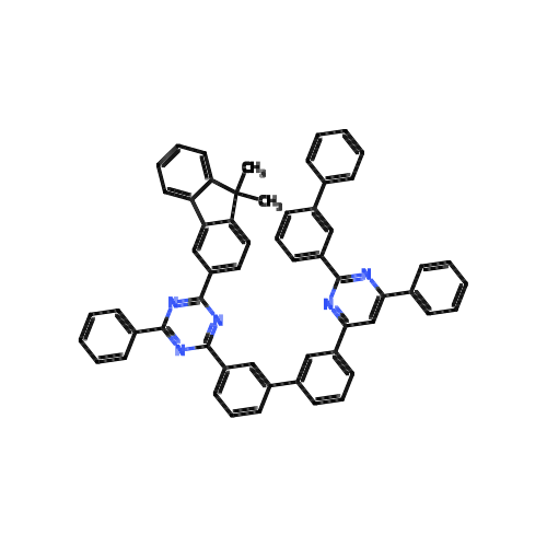 CC1(C)c2ccccc2-c2cc(-c3nc(-c4ccccc4)nc(-c4cccc(-c5cccc(-c6cc(-c7ccccc7)nc(-c7cccc(-c8ccccc8)c7)n6)c5)c4)n3)ccc21